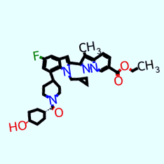 CCOC(=O)c1ccc2c(C)c(-c3cc4cc(F)cc(C5CCN(C(=O)[C@H]6CC[C@@H](O)CC6)CC5)c4n3CC3CC3)nn2c1